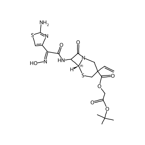 C=CC1(C(=O)OCC(=O)OC(C)(C)C)CS[C@@H]2C(NC(=O)C(=NO)c3csc(N)n3)C(=O)N2C1